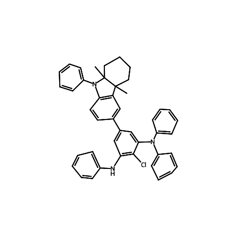 CC12CCCCC1(C)N(c1ccccc1)c1ccc(-c3cc(Nc4ccccc4)c(Cl)c(N(c4ccccc4)c4ccccc4)c3)cc12